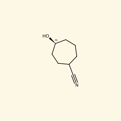 N#CC1CCC[C@H](O)CC1